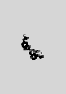 [2H]COc1ccnc(C[S+]([O-])c2nc3cc(OC(F)F)ccc3[nH]2)c1OC